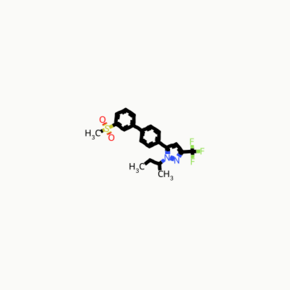 CCC(C)n1nc(C(F)(F)F)cc1-c1ccc(-c2cccc(S(C)(=O)=O)c2)cc1